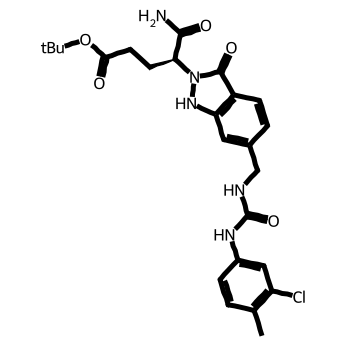 Cc1ccc(NC(=O)NCc2ccc3c(=O)n([C@@H](CCC(=O)OC(C)(C)C)C(N)=O)[nH]c3c2)cc1Cl